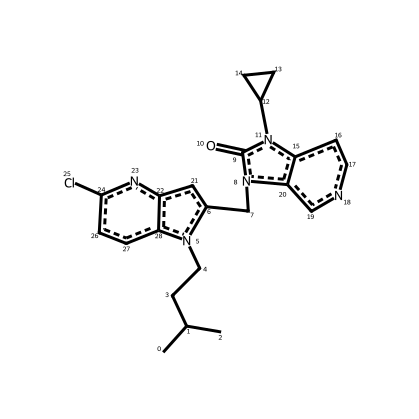 CC(C)CCn1c(Cn2c(=O)n(C3CC3)c3ccncc32)cc2nc(Cl)ccc21